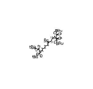 CC(C)(C)OC(=O)N(CCCCCC(Br)CCN(C(=O)OC(C)(C)C)C(=O)OC(C)(C)C)C(=O)OC(C)(C)C